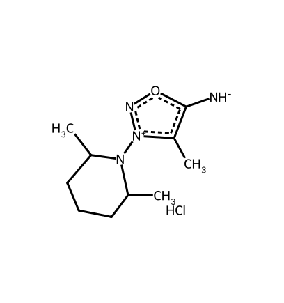 Cc1c([NH-])on[n+]1N1C(C)CCCC1C.Cl